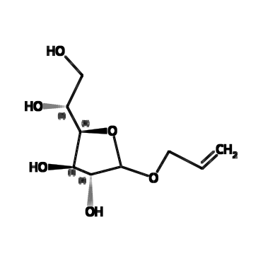 C=CCOC1O[C@H]([C@H](O)CO)[C@H](O)[C@H]1O